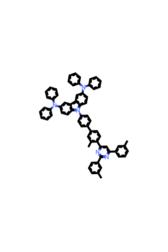 Cc1cccc(-c2cc(-c3ccc(-c4ccc(-n5c6ccc(N(c7ccccc7)c7ccccc7)cc6c6cc(N(c7ccccc7)c7ccccc7)ccc65)cc4)cc3C)nc(-c3cccc(C)c3)n2)c1